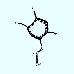 OBOc1cc(Cl)c(F)cc1F